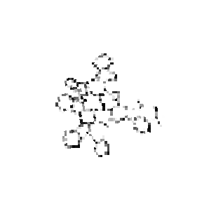 CC1(C)CCC(C)(C)c2c(-c3cc4c5c(c3)Sc3c(c6sc7ccccc7c6c6c7ccccc7n(-c7ccccc7)c36)B5c3c(c5oc6ccccc6c5c5c3oc3ccccc35)O4)cccc21